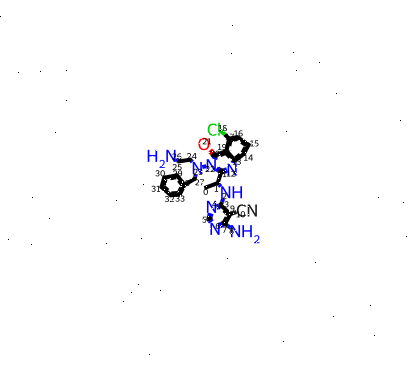 CC(Nc1ncnc(N)c1C#N)c1nc2cccc(Cl)c2c(=O)n1N(CCN)Cc1ccccc1